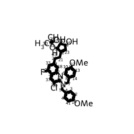 COc1ccc(CN(Cc2ccc(OC)cc2)c2nc3cc(CCC4=C[C@H](O)[C@@H]5OC(C)(C)O[C@H]45)cc(F)c3cc2Cl)cc1